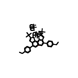 CCc1ccc(-c2cccc3c2C=C(C(C)(C)C)[CH]3[Hf+2]2([CH]3C(C(C)(C)C)=Cc4c(-c5ccc(CC)cc5)cccc43)[CH2][CH2]2)cc1.[Cl-].[Cl-]